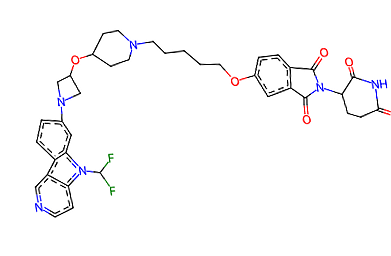 O=C1CCC(N2C(=O)c3ccc(OCCCCCN4CCC(OC5CN(c6ccc7c8cnccc8n(C(F)F)c7c6)C5)CC4)cc3C2=O)C(=O)N1